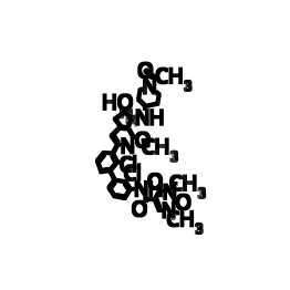 COc1nc(-c2cccc(-c3cccc(NC(=O)c4cn(C)c(=O)n(C)c4=O)c3Cl)c2Cl)cc2c1[C@@H](NC1CCN(C(C)=O)CC1)[C@H](O)C2